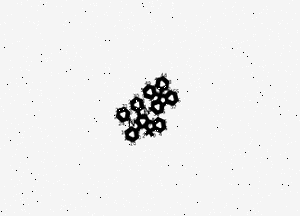 CC1(C)c2ccccc2-c2c1c1c3ccccc3n(-c3ccccc3)c1c1c3ccccc3n(-c3ccc4c(c3)C(c3ccccc3)(c3ccccc3)c3ccccc3-4)c21